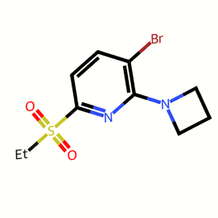 CCS(=O)(=O)c1ccc(Br)c(N2CCC2)n1